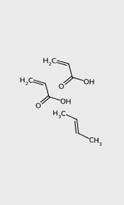 C=CC(=O)O.C=CC(=O)O.CC=CC